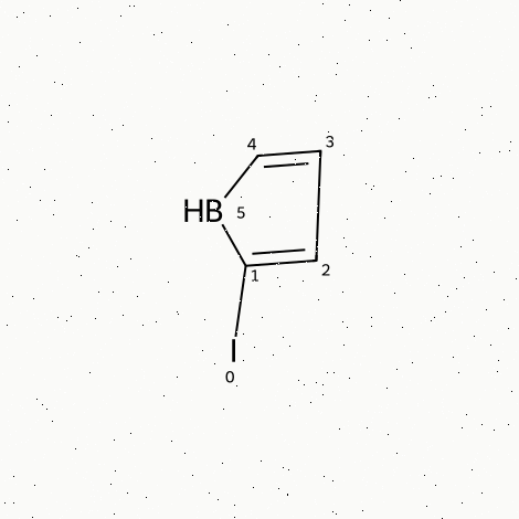 IC1=CC=CB1